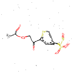 CC(=O)OCC(=O)c1cc(S(=O)(=O)O)cs1